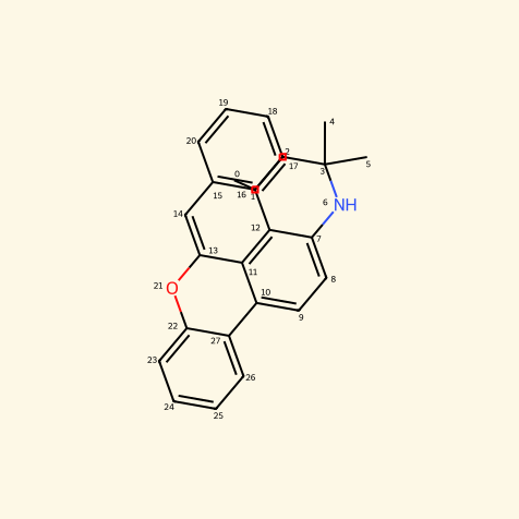 CC1=CC(C)(C)Nc2ccc3c(c21)/C(=C\c1ccccc1)Oc1ccccc1-3